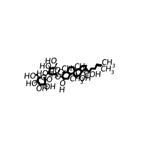 CC(C)=CCCC(C)(O)C1CCC2(C)C1C(O)CC1C3(C)CC(O)C(O[C@@H]4O[C@H](CO)[C@@H](O)[C@H](O)[C@H]4O[C@@H]4O[C@H](CO)[C@@H](O)[C@H](O)[C@H]4O)C(C)(C)C3CCC12C